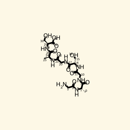 C[C@H](NC(=O)CN)C(=O)NCC(=O)N[C@@H](CO)C(=O)NCC(=O)N[C@@H](C)C(=O)N[C@@H](CO)C(=O)O